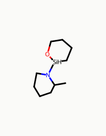 CC1CCCCN1[SiH]1CCCCO1